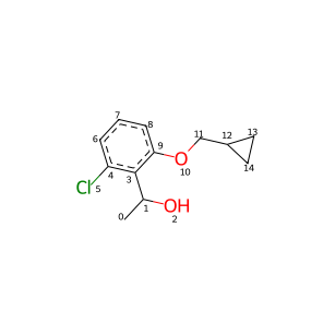 CC(O)c1c(Cl)cccc1OCC1CC1